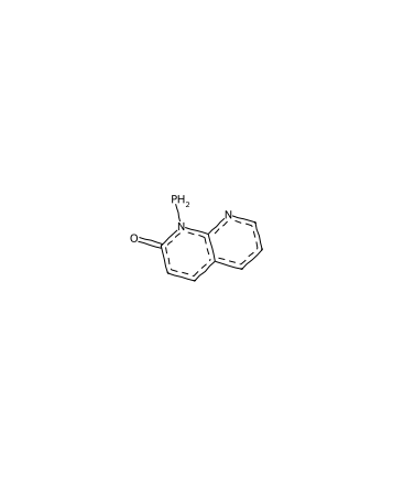 O=c1ccc2cccnc2n1P